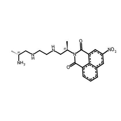 C[C@H](CNCCNC[C@@H](C)N)N1C(=O)c2cccc3cc([N+](=O)[O-])cc(c23)C1=O